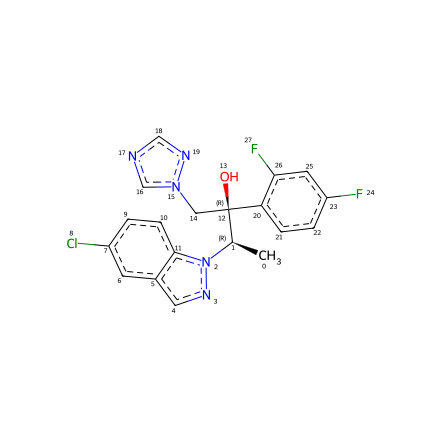 C[C@@H](n1ncc2cc(Cl)ccc21)[C@](O)(Cn1cncn1)c1ccc(F)cc1F